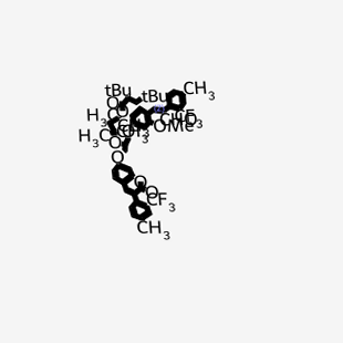 COc1cc(OCC(COc2ccc3cc(-c4ccc(C)cc4C(F)(F)F)c(=O)oc3c2)OC(C)(C)CC(C)(C)OC(=O)C(CC(C)(C)C)C(C)(C)C)ccc1/C=C(\C=O)c1ccc(C)cc1C(F)(F)F